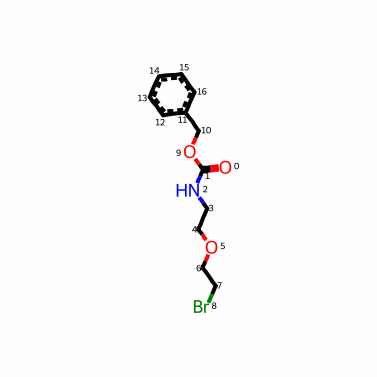 O=C(NCCOCCBr)OCc1ccccc1